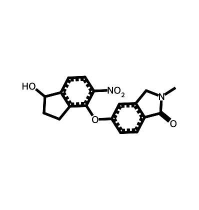 CN1Cc2cc(Oc3c([N+](=O)[O-])ccc4c3CCC4O)ccc2C1=O